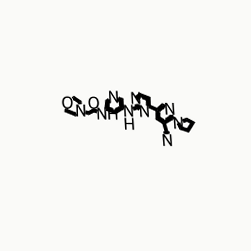 N#Cc1cc(-c2ccnc(Nc3cncc(NC(=O)CN4CCOCC4)c3)n2)cnc1N1CCCC1